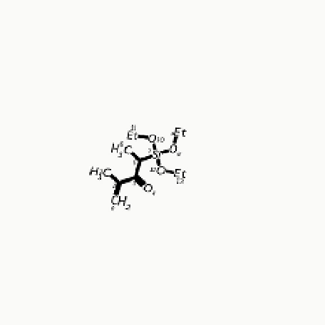 C=C(C)C(=O)C(C)[Si](OCC)(OCC)OCC